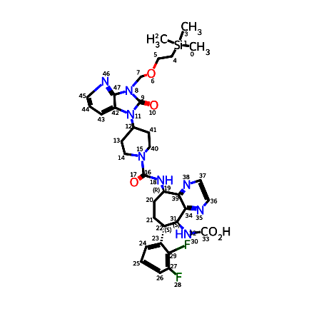 C[Si](C)(C)CCOCn1c(=O)n(C2CCN(C(=O)N[C@@H]3CC[C@@H](c4cccc(F)c4F)[C@H](NC(=O)O)c4nccnc43)CC2)c2cccnc21